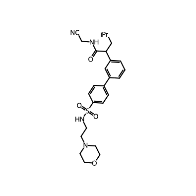 CC(C)CC(C(=O)NCC#N)c1cccc(-c2ccc(S(=O)(=O)NCCN3CCOCC3)cc2)c1